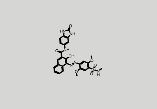 CNS(=O)(=O)c1cc(OC)c(N=Nc2c(O)c(C(=O)Nc3ccc4[nH]c(=O)[nH]c4c3)cc3ccccc23)cc1OC